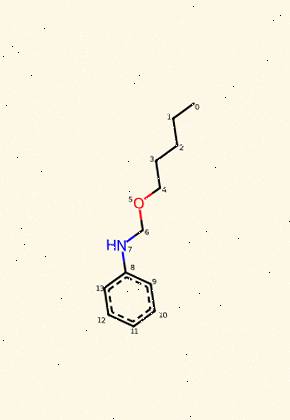 CCCCCOCNc1ccccc1